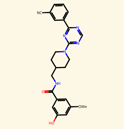 COc1cc(O)cc(C(=O)NCC2CCN(c3ncnc(-c4cccc(C#N)c4)n3)CC2)c1